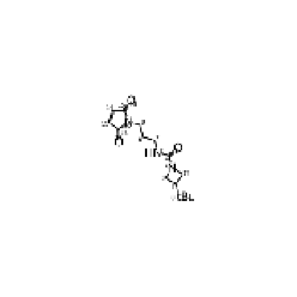 CC(C)(C)C1CN(C(=O)NCCCN2C(=O)C=CC2=O)C1